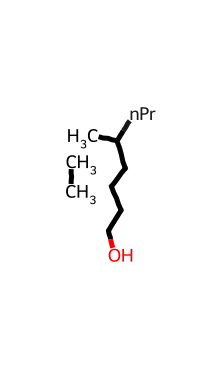 CC.CCCC(C)CCCCO